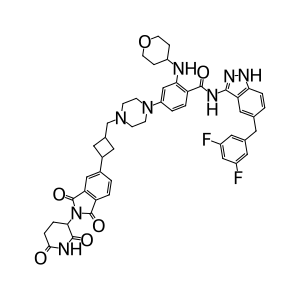 O=C1CCC(N2C(=O)c3ccc(C4CC(CN5CCN(c6ccc(C(=O)Nc7n[nH]c8ccc(Cc9cc(F)cc(F)c9)cc78)c(NC7CCOCC7)c6)CC5)C4)cc3C2=O)C(=O)N1